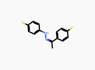 C/C(=N/Nc1ccc(F)cc1)c1ccc(F)cc1